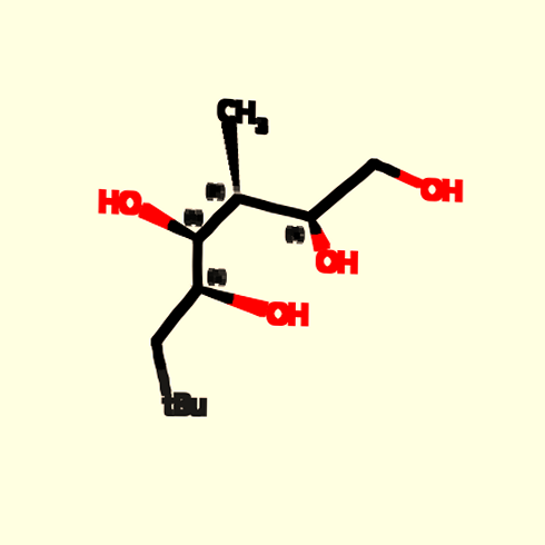 C[C@@H]([C@H](O)[C@@H](O)CC(C)(C)C)[C@H](O)CO